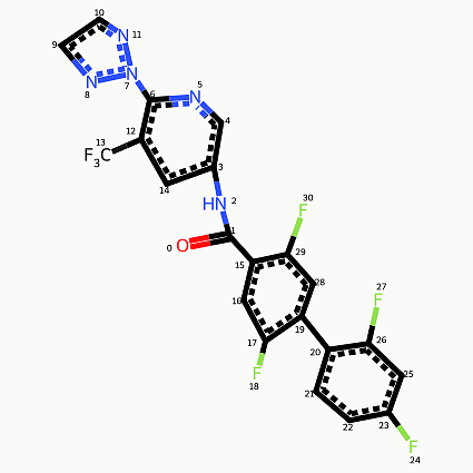 O=C(Nc1cnc(-n2nccn2)c(C(F)(F)F)c1)c1cc(F)c(-c2ccc(F)cc2F)cc1F